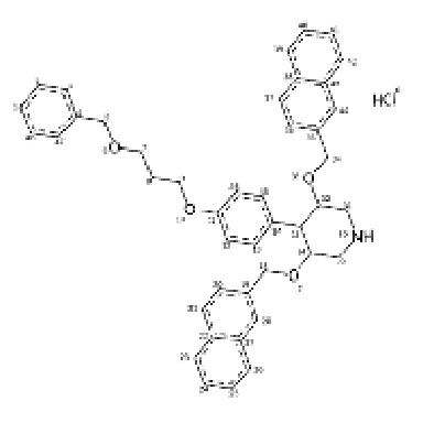 Cl.c1ccc(COCCCOc2ccc(C3C(OCc4ccc5ccccc5c4)CNCC3OCc3ccc4ccccc4c3)cc2)cc1